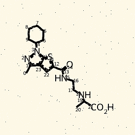 Cc1nn(C2CCCCC2)c2sc(C(=O)NCCNC(C)C(=O)O)cc12